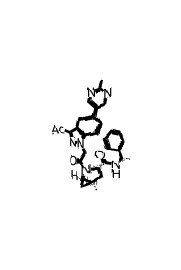 CC(=O)c1nn(CC(=O)N2[C@H](C(=O)N[C@@H](C)c3ccccc3)C[C@@]3(C)C[C@@H]23)c2ccc(-c3cnc(C)nc3)cc12